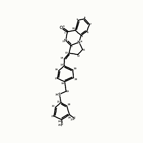 O=c1nc2n(c3ccccc13)CC/C2=C\c1ccc(CSc2ccc(F)c(F)c2)cc1